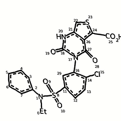 CCN(c1ccccc1)S(=O)(=O)c1ccc(Cl)c(-n2c(=O)[nH]c3csc(C(=O)O)c3c2=O)c1